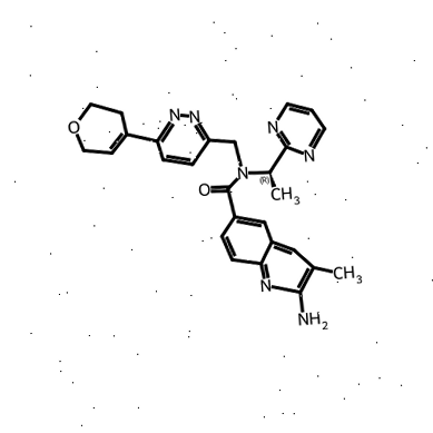 Cc1cc2cc(C(=O)N(Cc3ccc(C4=CCOCC4)nn3)[C@H](C)c3ncccn3)ccc2nc1N